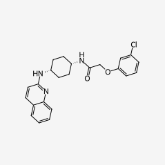 O=C(COc1cccc(Cl)c1)N[C@H]1CC[C@@H](Nc2ccc3ccccc3n2)CC1